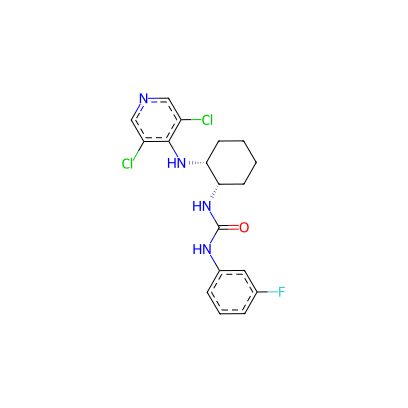 O=C(Nc1cccc(F)c1)N[C@H]1CCCC[C@H]1Nc1c(Cl)cncc1Cl